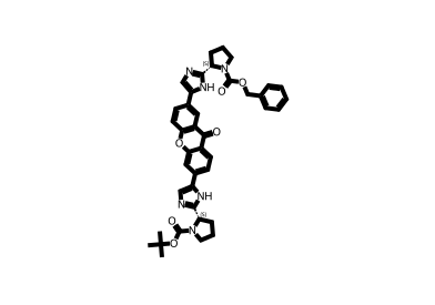 CC(C)(C)OC(=O)N1CCC[C@H]1c1ncc(-c2ccc3c(=O)c4cc(-c5cnc([C@@H]6CCCN6C(=O)OCc6ccccc6)[nH]5)ccc4oc3c2)[nH]1